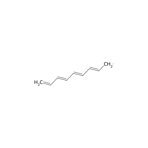 [CH2]C=CC=CC=CC=C